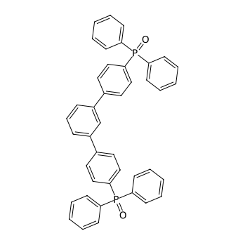 O=P(c1ccccc1)(c1ccccc1)c1ccc(-c2cccc(-c3ccc(P(=O)(c4ccccc4)c4ccccc4)cc3)c2)cc1